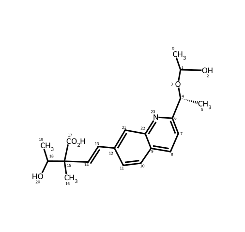 CC(O)O[C@H](C)c1ccc2ccc(/C=C/C(C)(C(=O)O)C(C)O)cc2n1